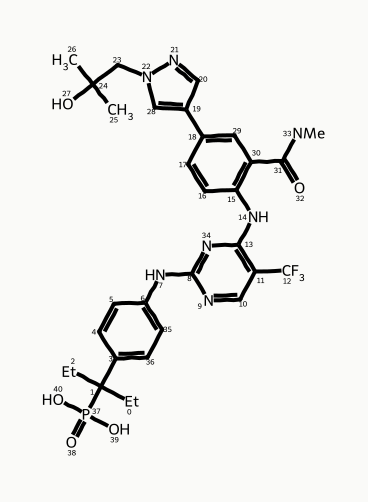 CCC(CC)(c1ccc(Nc2ncc(C(F)(F)F)c(Nc3ccc(-c4cnn(CC(C)(C)O)c4)cc3C(=O)NC)n2)cc1)P(=O)(O)O